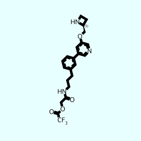 O=C(COC(=O)C(F)(F)F)NCCCc1cccc(-c2cncc(OC[C@@H]3CCN3)c2)c1